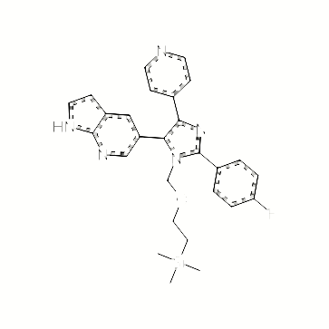 C[Si](C)(C)CCOCn1c(-c2ccc(F)cc2)nc(-c2ccncc2)c1-c1cnc2[nH]ccc2c1